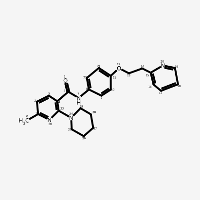 Cc1ccc(C(=O)Nc2ccc(OCCc3ccccn3)cc2)c(N2CCCCC2)n1